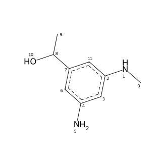 CNc1cc(N)cc(C(C)O)c1